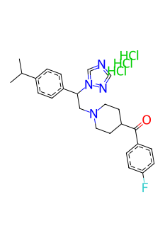 CC(C)c1ccc(C(CN2CCC(C(=O)c3ccc(F)cc3)CC2)n2cncn2)cc1.Cl.Cl.Cl